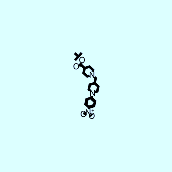 CC(C)(C)OC(=O)C1CCN(CC2CCN(c3ccc([N+](=O)[O-])cc3)CC2)CC1